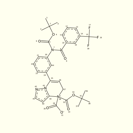 CC(C)(C)OC(=O)N(C(=O)c1cccc(C(F)(F)F)c1)c1cccc(C2=CC[N+](C(=O)[O-])(C(=O)OC(C)(C)C)c3ccnn32)c1